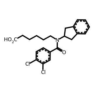 O=C(O)CCCCCN(C(=O)c1ccc(Cl)c(Cl)c1)C1Cc2ccccc2C1